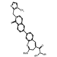 CCCN(CCC)C(=O)C1=Cc2ccc(-c3ccc4c(=S)n(Cc5nccn5C)ccc4c3)cc2N=C(NC)C1